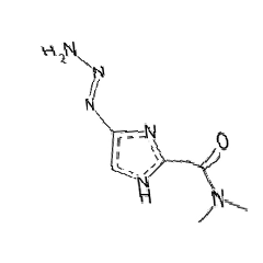 CN(C)C(=O)c1nc(N=NN)c[nH]1